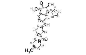 CC1C(=O)N(C)c2cnc(Nc3cccc(C(=O)N4CCN(C)CC4)c3)cc2N1C1CCCC1